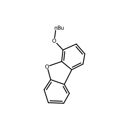 CCCCOc1cccc2c1oc1ccccc12